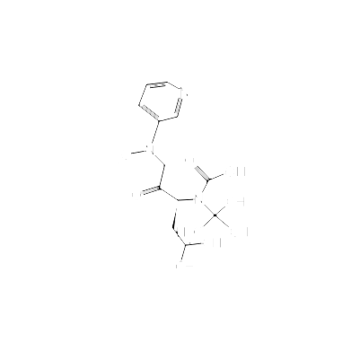 CC(C)C[C@@H](C(=O)CN(C)c1cccnc1)N(C(=O)O)C(C)(C)C